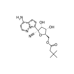 CC(C)(C)CC(=O)OC[C@H]1O[C@@](C#N)(c2ccc3c(N)ccnn23)[C@H](O)[C@@H]1O